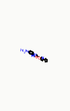 Nc1ccc2c(c1)nc1n2C[C@@H](COc2ccc(C3CCCC3)nc2)O1